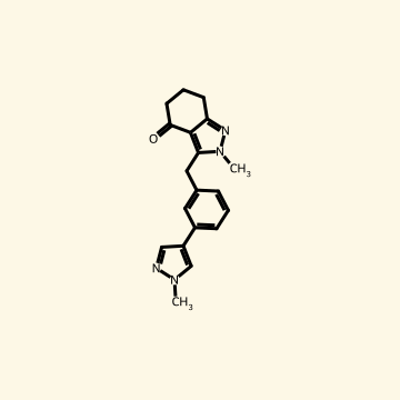 Cn1cc(-c2cccc(Cc3c4c(nn3C)CCCC4=O)c2)cn1